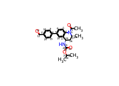 CC(=O)N1c2ccc(-c3ccc(C=O)cc3)cc2[C@@H](NC(=O)OC(C)C)C[C@H]1C